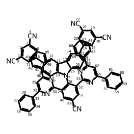 N#Cc1cc(C#N)cc(-c2ccc3c(c2)c2cc(-c4cc(C#N)cc(C#N)c4)ccc2n3-c2c(-c3nc(-c4ccccc4)cc(-c4ccccc4)n3)cc(C#N)cc2-c2nc(-c3ccccc3)cc(-c3ccccc3)n2)c1